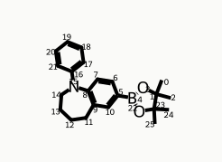 CC1(C)OB(c2ccc3c(c2)CCCCN3c2ccccc2)OC1(C)C